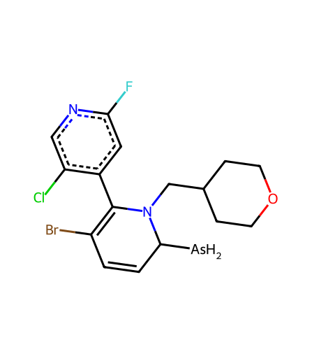 Fc1cc(C2=C(Br)C=CC([AsH2])N2CC2CCOCC2)c(Cl)cn1